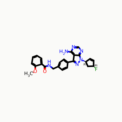 COc1ccccc1C(=O)NCc1ccc(-c2nn([C@H]3C=C[C@H](F)C3)c3ncnc(N)c23)cc1